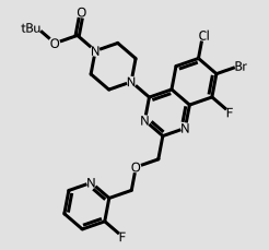 CC(C)(C)OC(=O)N1CCN(c2nc(COCc3ncccc3F)nc3c(F)c(Br)c(Cl)cc23)CC1